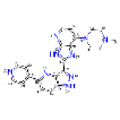 CN1CCN(c2ccnc3[nH]c(-c4n[nH]c5ccc(-c6ccncc6)nc45)nc23)CC1